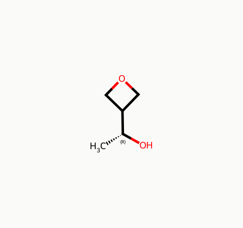 C[C@@H](O)C1COC1